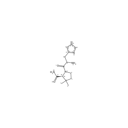 CC1(C)CCN(C(=O)C(N)Cc2c[nH]cn2)[C@@H]1C(N)=O